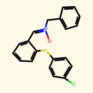 [O-][N+](=Cc1ccccc1Sc1ccc(Cl)cc1)Cc1ccccc1